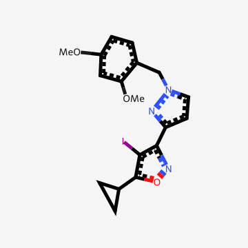 COc1ccc(Cn2ccc(-c3noc(C4CC4)c3I)n2)c(OC)c1